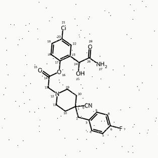 N#CC1(Cc2ccc(F)cc2)CCN(CC(=O)Oc2ccc(Cl)cc2C(O)C(N)=O)CC1